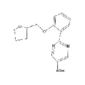 CCCCCCCCCCc1cnc(-c2ccccc2OCC2CCCO2)nc1